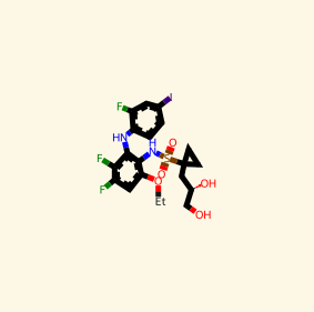 CCOc1cc(F)c(F)c(Nc2ccc(I)cc2F)c1NS(=O)(=O)C1(C[C@H](O)CO)CC1